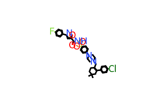 CC1(C)CCC(CN2CCN(c3ccc(S(=O)(=O)NC(=O)c4cc(-c5ccc(F)cc5)no4)cc3)CC2)=C(c2ccc(Cl)cc2)C1